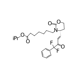 CC(C)OC(=O)CCCCCCN1C(=O)OCC[C@@H]1/C=C/C(=O)C(F)(F)c1ccccc1